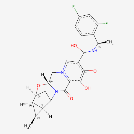 C[C@@H]1[C@@H]2C3C[C@H](O[C@@H]4Cn5cc(C(O)N[C@H](C)c6ccc(F)cc6F)c(=O)c(O)c5C(=O)N34)[C@H]12